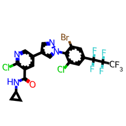 O=C(NC1CC1)c1cc(-c2cnn(-c3c(Cl)cc(C(F)(F)C(F)(F)C(F)(F)F)cc3Br)c2)cnc1Cl